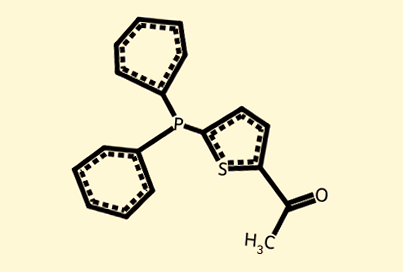 CC(=O)c1ccc(P(c2ccccc2)c2ccccc2)s1